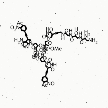 COC[C@H]1O[C@@H](n2cc(C#CCNC(=O)CNC(=O)C(O)CNC(=O)C(N)CN)c(=O)[nH]c2=O)C[C@@H]1OP(C)(=O)OC[C@H]1O[C@@H](n2cc(C#Cc3ccc(C(C)=O)c(N=O)c3)c(=O)[nH]c2=O)C[C@@H]1OP(C)(=O)OC[C@H]1O[C@@H](n2cc(C#Cc3ccc(C(C)=O)c([N+](=O)[O-])c3)c3c(N)ncnc32)C[C@@H]1O